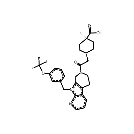 C[C@]1(C(=O)O)CC[C@@H](CC(=O)N2CCc3c(n(Cc4cccc(OC(F)(F)F)c4)c4ncccc34)C2)CC1